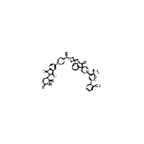 Nc1nnc(-c2ccccc2O)cc1N1CCC(C(=O)N2CC3(CN(C(=O)C4CCN(c5ccc6c(c5)C(=O)N(C5CCC(=O)NC5=O)C6=O)CC4)C3)C2)(c2ccccc2)CC1